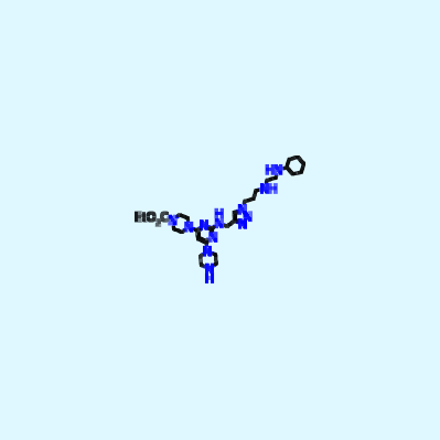 CCOC(=O)N1CCN(c2cc(N3CCNCC3)nc(NCc3cn(CCCNCCNC4CCCCC4)nn3)n2)CC1